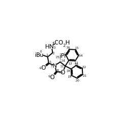 CCC(C)C(CNC(=O)O)C(=O)N1C(=O)OC(c2ccccc2)(c2ccccc2)[C@H]1C(C)C